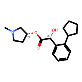 CN1CC[C@@H](OC(=O)[C@H](O)c2ccccc2C2CCCC2)C1